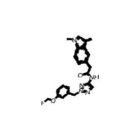 Cc1cn(C)c2ccc(CC(=O)Nc3cnn(Cc4cccc(OCF)c4)n3)cc12